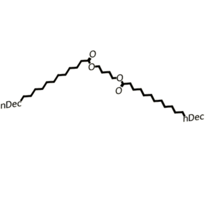 CCCCCCCCCCCCCCCCCCCCCC(=O)OCCCCOC(=O)CCCCCCCCCCCCCCCCCCCCC